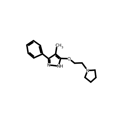 Cc1c(-c2ccccc2)n[nH]c1OCCN1CCCC1